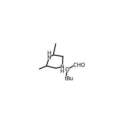 CC(C)(C)OC=O.CC1CNCC(C)N1